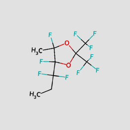 CCC(F)(F)C1(F)OC(C(F)(F)F)(C(F)(F)F)OC1(C)F